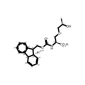 C[C@@H](O)COC[C@H](NC(=O)OCC1c2ccccc2C2C=CC=C[C@@H]21)C(=O)O